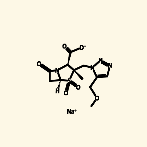 COCc1cnnn1C[C@@]1(C)[C@H](C(=O)[O-])N2C(=O)C[C@@H]2S1(=O)=O.[Na+]